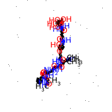 CC(=O)NC(C)C(=O)NC(Cc1ccccc1)C(=O)NC(CCCCNC(=O)CNC(=O)C(CCCC[N+](C)(C)C)NC(=O)CCCCOc1ccc(/C=N/NC(=O)CCCCC(=O)NNC2O[C@@H](CO)[C@H](O)[C@@H](O)[C@@H]2O)c(O)c1)C(N)=O